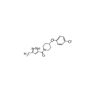 Cc1cc(C(=O)N2CCC(Oc3ccc(Cl)cc3)CC2)[nH]n1